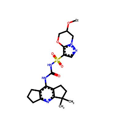 CCOC1COc2c(S(=O)(=O)NC(=O)Nc3c4c(nc5c3CCC5(C)C)CCC4)cnn2C1